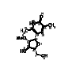 CO[C@H]1C(O)[C@@H](CO)O[C@H]1c1nc(C)c(=O)[nH]c1C